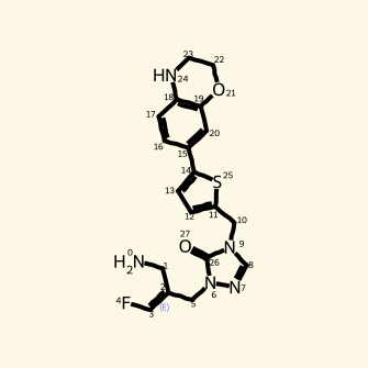 NC/C(=C\F)Cn1ncn(Cc2ccc(-c3ccc4c(c3)OCCN4)s2)c1=O